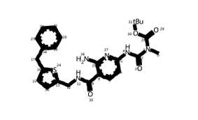 CN(C(=O)Nc1ccc(C(=O)NCc2ccc(Cc3ccccc3)s2)c(N)n1)C(=O)OC(C)(C)C